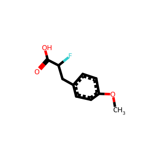 COc1ccc(CC(F)C(=O)O)cc1